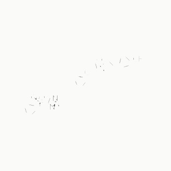 O=S(=O)(Oc1cn(CCCCc2ccc(OCc3coc(C=Cc4ccc(C(F)(F)F)cc4)n3)cc2)nn1)c1ccccc1